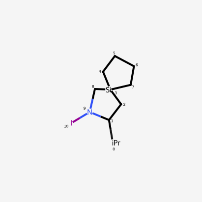 CC(C)C1C[Si]2(CCCC2)CN1I